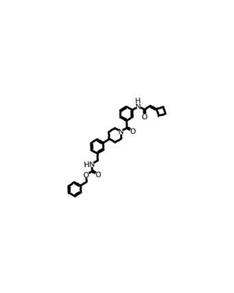 O=C(C=C1CCC1)Nc1cccc(C(=O)N2CCC(c3cccc(CNC(=O)OCc4ccccc4)c3)CC2)c1